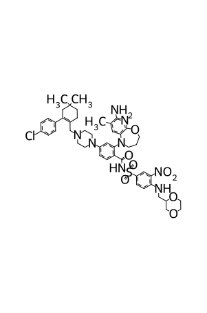 Cc1cc2c(nc1N)OCCCN2c1cc(N2CCN(CC3=C(c4ccc(Cl)cc4)CC(C)(C)CC3)CC2)ccc1C(=O)NS(=O)(=O)c1ccc(NCC2COCCO2)c([N+](=O)[O-])c1